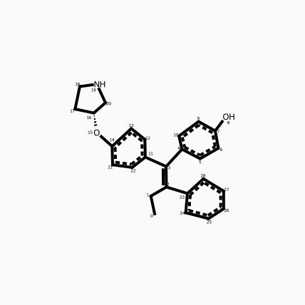 CC/C(=C(/c1ccc(O)cc1)c1ccc(O[C@@H]2CCNC2)cc1)c1ccccc1